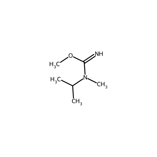 COC(=N)N(C)C(C)C